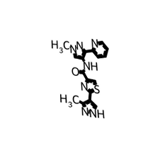 Cc1n[nH]cc1-c1nc(C(=O)Nc2cn(C)nc2-c2ccccn2)cs1